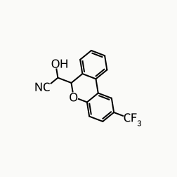 N#CC(O)C1Oc2ccc(C(F)(F)F)cc2-c2ccccc21